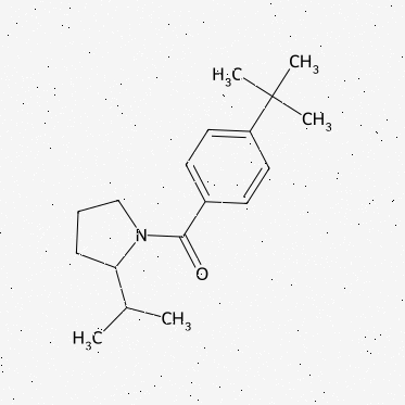 CC(C)C1CCCN1C(=O)c1ccc(C(C)(C)C)cc1